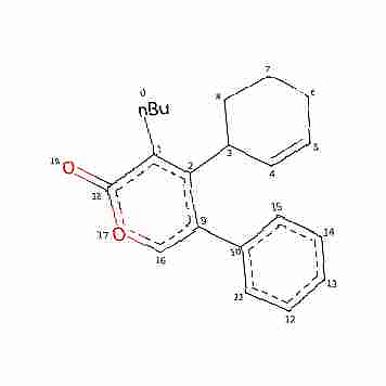 CCCCc1c(C2C=CCCC2)c(-c2ccccc2)coc1=O